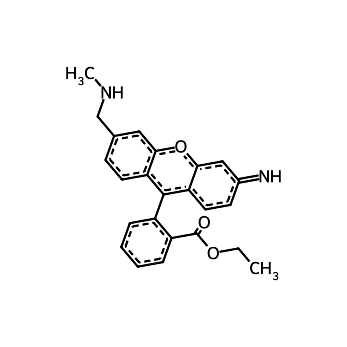 CCOC(=O)c1ccccc1-c1c2ccc(=N)cc-2oc2cc(CNC)ccc12